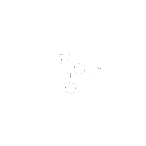 CCCCC1CN(c2ccccc2)c2cc(SC)c(CC#N)cc2S(O)(O)N1C